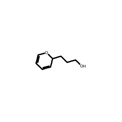 OCCCC1C=CC=CO1